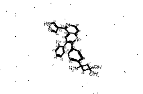 NC1(c2ccc(-c3nc4ccnc(-c5cn[nH]c5)c4cc3-c3ccccc3F)cc2)CC(O)(O)C1